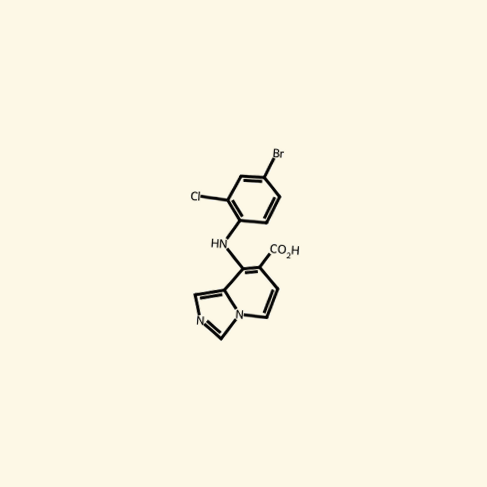 O=C(O)c1ccn2cncc2c1Nc1ccc(Br)cc1Cl